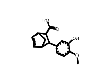 COc1ccc(C2C3C=CC(C3)C2C(=O)O)cc1O